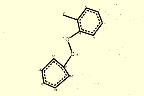 Cc1ccccc1OOc1ccccc1